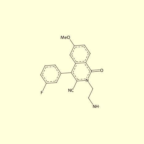 COc1ccc2c(=O)n(CC[NH])c(C#N)c(-c3cccc(F)c3)c2c1